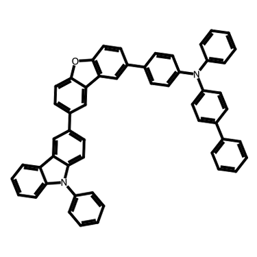 c1ccc(-c2ccc(N(c3ccccc3)c3ccc(-c4ccc5oc6ccc(-c7ccc8c(c7)c7ccccc7n8-c7ccccc7)cc6c5c4)cc3)cc2)cc1